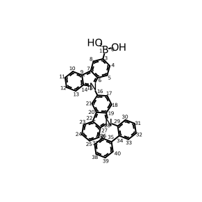 OB(O)c1ccc2c(c1)c1ccccc1n2-c1ccc2c(c1)c1ccccc1n2-c1ccccc1-c1ccccc1